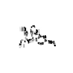 Nc1ccn([C@@H]2O[C@H](CO)[C@@H](O)[C@@]23CCCO3)c(=O)n1